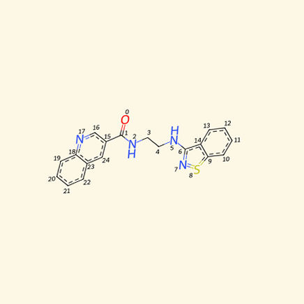 O=C(NCCNc1nsc2ccccc12)c1cnc2ccccc2c1